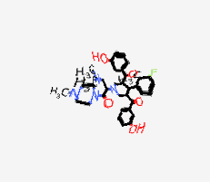 Cc1c(F)cccc1C1C(C(=O)c2cccc(O)c2)CN(C(CN(C)C)C(=O)N2CCN(C)CC2)CC1C(=O)c1cccc(O)c1